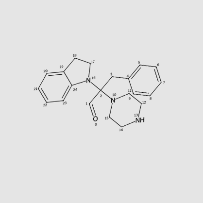 O=CC(Cc1ccccc1)(N1CCNCC1)N1CCc2ccccc21